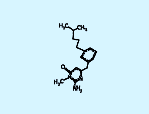 CC(C)CCCc1cccc(Cc2cc(=O)n(C)c(N)n2)c1